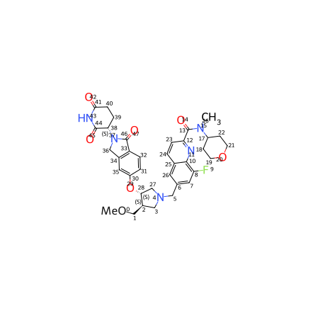 COC[C@@H]1CN(Cc2cc(F)c3nc(C(=O)N(C)C4CCOCC4)ccc3c2)C[C@H]1Oc1ccc2c(c1)CN([C@H]1CCC(=O)NC1=O)C2=O